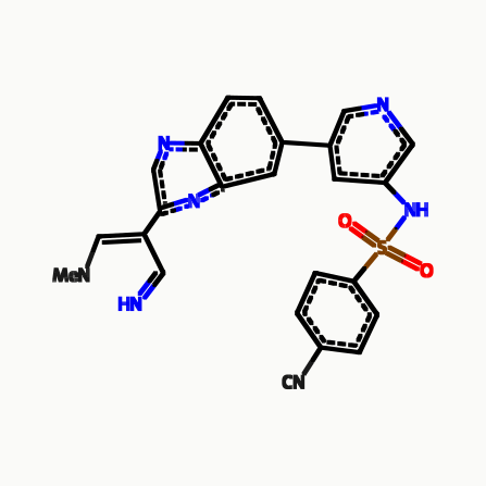 [C-]#[N+]c1ccc(S(=O)(=O)Nc2cncc(-c3ccc4ncc(/C(C=N)=C/NC)nc4c3)c2)cc1